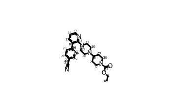 CCOC(=O)N1CCC(N2CCN(c3ncccc3-c3ccc(C#N)cn3)CC2)CC1